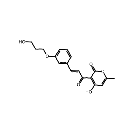 Cc1cc(O)c(C(=O)C=Cc2cccc(OCCCO)c2)c(=O)o1